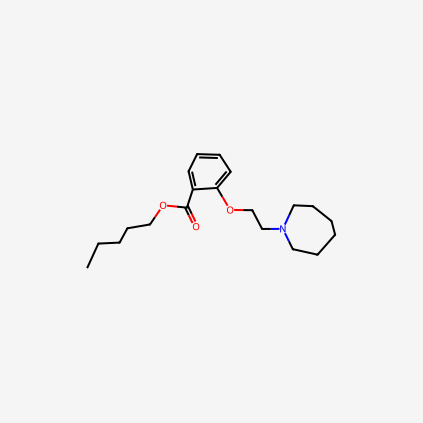 CCCCCOC(=O)c1ccccc1OCCN1CCCCCC1